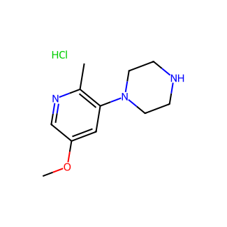 COc1cnc(C)c(N2CCNCC2)c1.Cl